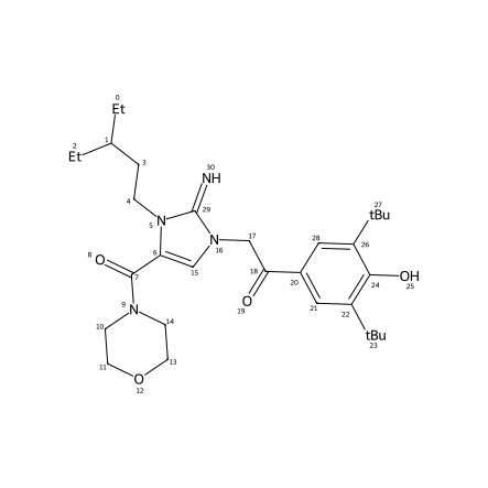 CCC(CC)CCn1c(C(=O)N2CCOCC2)cn(CC(=O)c2cc(C(C)(C)C)c(O)c(C(C)(C)C)c2)c1=N